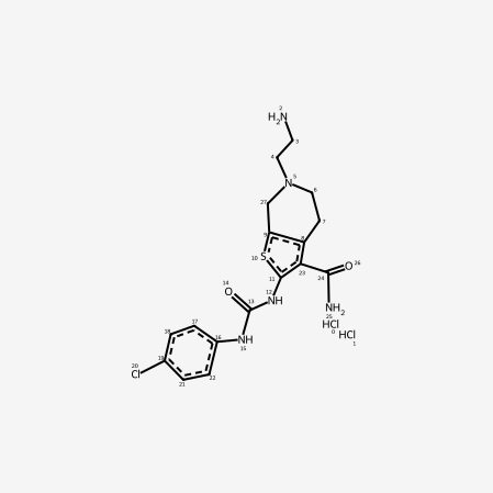 Cl.Cl.NCCN1CCc2c(sc(NC(=O)Nc3ccc(Cl)cc3)c2C(N)=O)C1